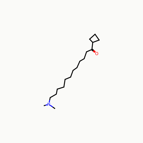 CN(C)CCCCCCCCCCCC(=O)C1CCC1